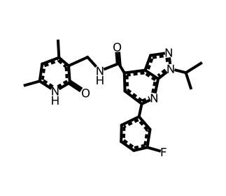 Cc1cc(C)c(CNC(=O)c2cc(-c3cccc(F)c3)nc3c2cnn3C(C)C)c(=O)[nH]1